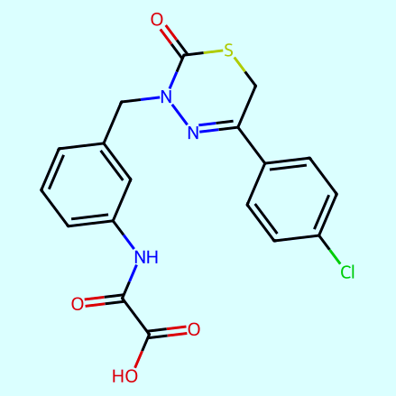 O=C(O)C(=O)Nc1cccc(CN2N=C(c3ccc(Cl)cc3)CSC2=O)c1